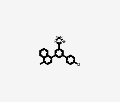 Cc1ccc(-c2cc(-c3ccc(Cl)cc3)cc(-c3nnn[nH]3)c2)c2ccccc12